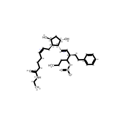 [CH2]CCC(O[N+](=O)[O-])[C@@H](/C=C/[C@@H]1[C@@H](C/C=C\CCCC(=O)NCC)[C@@H](O)C[C@@H]1O)CCc1ccccc1